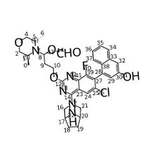 C[C@H]1COC[C@H](C)N1C(CCOc1nc(N2CC3CCC(C2)N3)c2cc(Cl)c(-c3cc(O)cc4ccccc34)c(F)c2n1)OC=O